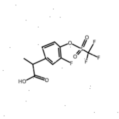 CC(C(=O)O)c1ccc(OS(=O)(=O)C(F)(F)F)c(F)c1